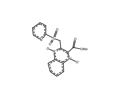 COC(=O)c1c(CS(=O)(=O)c2ccccn2)[n+]([O-])c2ccccc2[n+]1[O-]